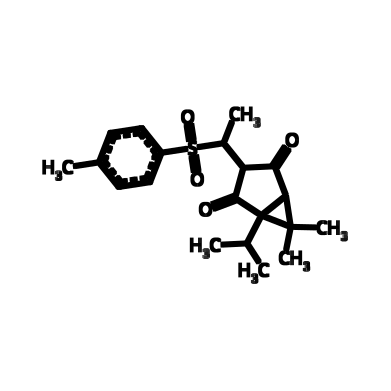 Cc1ccc(S(=O)(=O)C(C)C2C(=O)C3C(C)(C)C3(C(C)C)C2=O)cc1